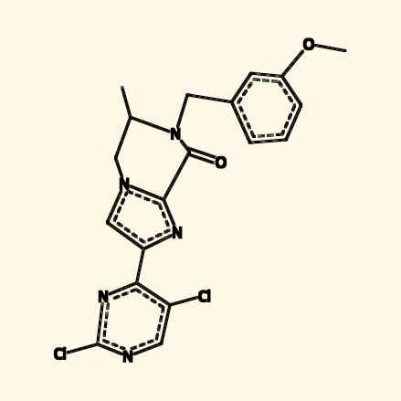 COc1cccc(CN2C(=O)c3nc(-c4nc(Cl)ncc4Cl)cn3CC2C)c1